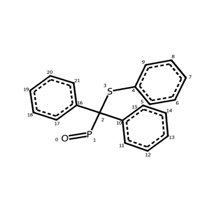 O=PC(Sc1ccccc1)(c1ccccc1)c1ccccc1